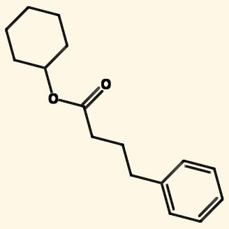 O=C(CCCc1ccccc1)OC1CCCCC1